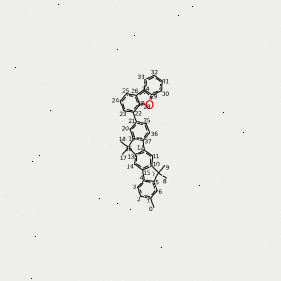 Cc1ccc2c(c1)C(C)(C)c1cc3c(cc1-2)C(C)(C)c1cc(-c2cccc4c2oc2ccccc24)ccc1-3